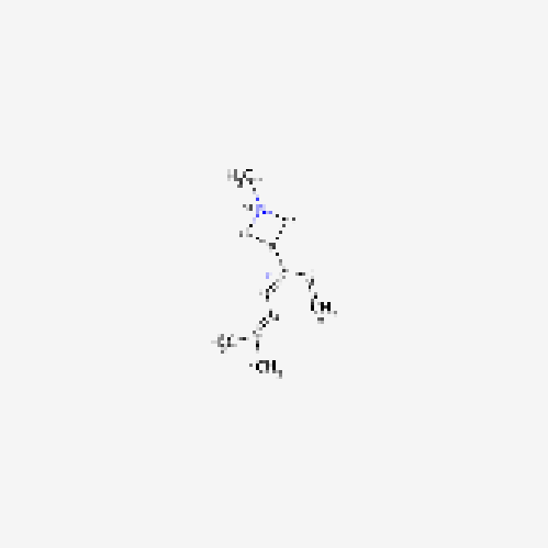 C=C/C(=C\C=C(C)C)C1CN(C)C1